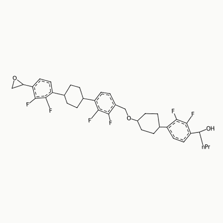 CCCC(O)c1ccc(C2CCC(OCc3ccc(C4CCC(c5ccc(C6CO6)c(F)c5F)CC4)c(F)c3F)CC2)c(F)c1F